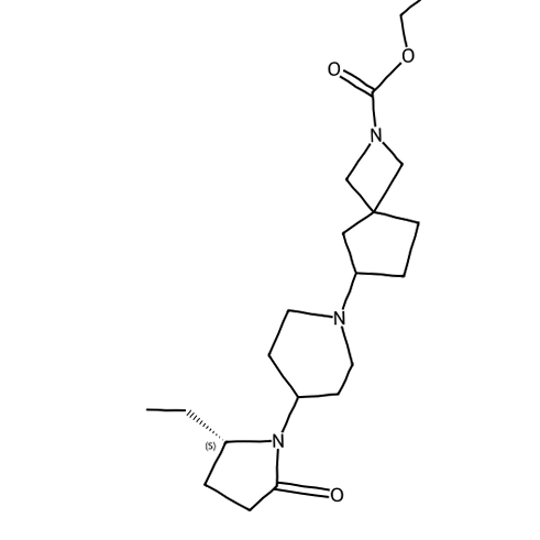 CCOC(=O)N1CC2(CCC(N3CCC(N4C(=O)CC[C@@H]4CC)CC3)C2)C1